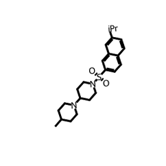 CC1CCN(C2CCN(S(=O)(=O)c3ccc4ccc(C(C)C)cc4c3)CC2)CC1